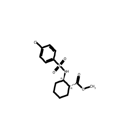 COC(=O)[C@@H]1CCCC[C@H]1NS(=O)(=O)c1ccc(Cl)cc1